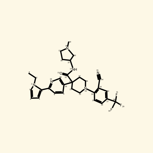 CCn1cccc1-c1ccc(C2(C(=O)NC3CCN(C)C3)CCN(c3ccc(C(F)(F)F)cc3C#N)CC2)cn1